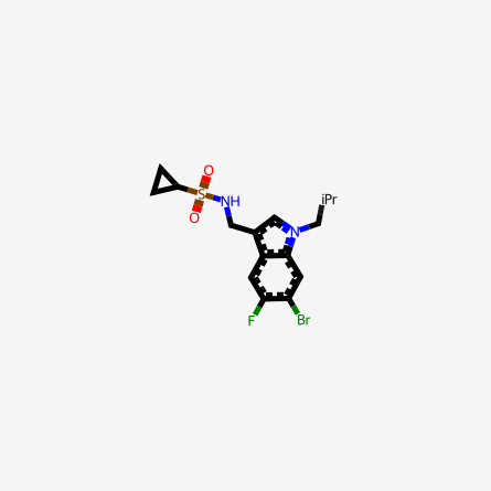 CC(C)Cn1cc(CNS(=O)(=O)C2CC2)c2cc(F)c(Br)cc21